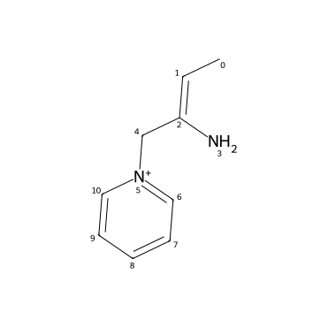 C/C=C(\N)C[n+]1ccccc1